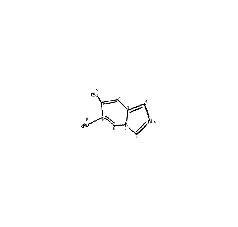 CC(C)(C)c1cc2cncn2cc1C(C)(C)C